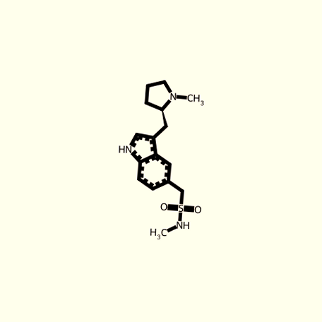 CNS(=O)(=O)Cc1ccc2[nH]cc(C[C@H]3CCCN3C)c2c1